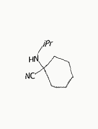 CC(C)NC1(C#N)CCCCC1